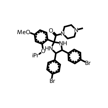 COc1ccc(C2(C(=O)N3CCN(C)CC3)NC(c3ccc(Br)cc3)C(c3ccc(Br)cc3)N2)c(OC(C)C)c1